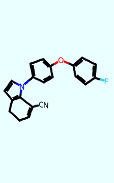 N#CC1=CCCc2ccn(-c3ccc(Oc4ccc(F)cc4)cc3)c21